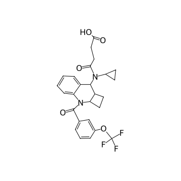 O=C(O)CCC(=O)N(C1CC1)C1c2ccccc2N(C(=O)c2cccc(OC(F)(F)F)c2)C2CCC21